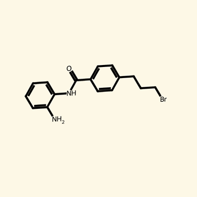 Nc1ccccc1NC(=O)c1ccc(CCCBr)cc1